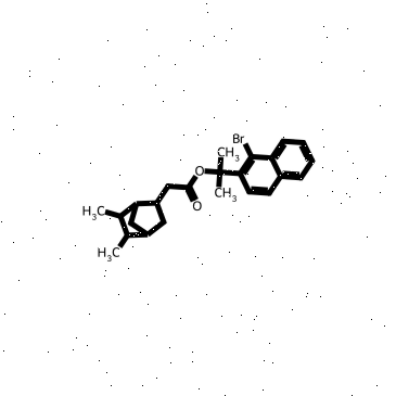 CC1C2CC(CC(=O)OC(C)(C)c3ccc4ccccc4c3Br)C(C2)C1C